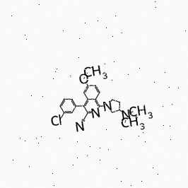 COc1ccc2c(N3CCC(N(C)C)C3)nc(C#N)c(-c3cccc(Cl)c3)c2c1